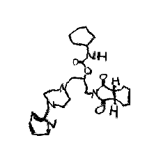 O=C(NC1CCCCC1)OC(CN1CCN(c2ccccn2)CC1)CN1C(=O)[C@H]2CC=CC[C@H]2C1=O